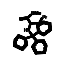 COC(=O)C(CC(C)C)NC(c1ccccc1)(c1ccccc1)c1ccccc1